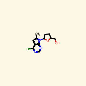 Cc1cc2c(Cl)ncnc2n1C1CCC(CO)O1